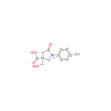 O=C1CC(CO)(C(=O)O)CN1c1ccc(Cl)cc1